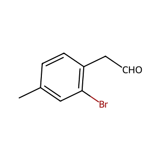 Cc1ccc(CC=O)c(Br)c1